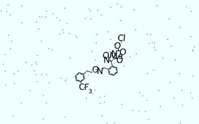 CON=C(C(=O)N(C)C(=O)OCCl)c1ccccc1C=NOCCc1cccc(C(F)(F)F)c1